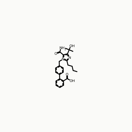 CCCCc1nc(C(C)(C)O)c(C(N)=O)n1Cc1ccc(-c2ccccc2C(=O)O)cc1